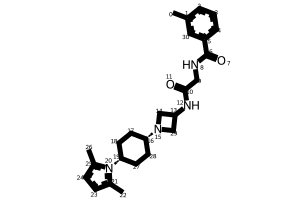 Cc1cccc(C(=O)NCC(=O)NC2CN([C@H]3CC[C@@H](n4c(C)ccc4C)CC3)C2)c1